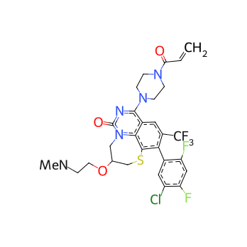 C=CC(=O)N1CCN(c2nc(=O)n3c4c(c(-c5cc(Cl)c(F)cc5F)c(C(F)(F)F)cc24)SCC(OCCNC)C3)CC1